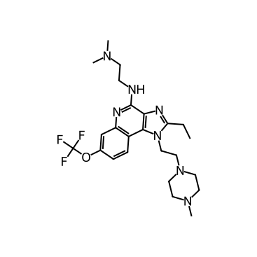 CCc1nc2c(NCCN(C)C)nc3cc(OC(F)(F)F)ccc3c2n1CCN1CCN(C)CC1